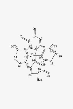 C=C/C=C\C1=C(C=C)C(C=C)=C(/C=C\C)C1(C(/C=C\C=C)=C/C=C)C(/C=C\C=C)=C/C=C